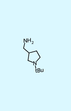 CC(C)(C)N1CCC(CN)C1